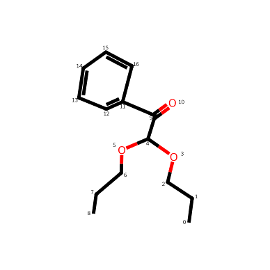 CCCOC(OCCC)C(=O)c1ccccc1